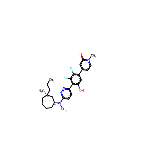 CCC[C@]1(C)CCCC[C@H](N(C)c2ccc(-c3c(O)cc(-c4ccn(C)c(=O)c4)c(F)c3F)nn2)C1